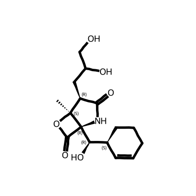 C[C@@]12OC(=O)[C@]1([C@H](O)[C@@H]1C=CCCC1)NC(=O)[C@@H]2CC(O)CO